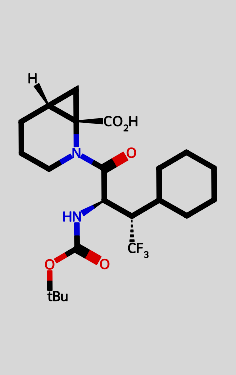 CC(C)(C)OC(=O)N[C@@H](C(=O)N1CCC[C@@H]2C[C@@]21C(=O)O)[C@H](C1CCCCC1)C(F)(F)F